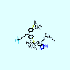 CC(C)(C)Sc1ccc(B(CCC=CC(F)(F)F)c2ccc(SC(C)(C)C)cc2)cc1.CCc1nc[nH]c1CCCC(C)C